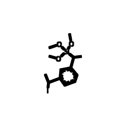 CO[Si](OC)(OC)C(C)c1cccc(C(C)I)c1